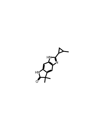 CC1CC1c1nc2cc3c(cc2[nH]1)NC(=O)C3(C)C